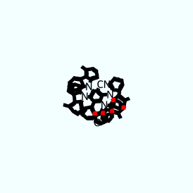 Cc1cccc2c1c1ccccc1n2-c1c(C#N)c(-n2c3ccccc3c3c(C)cccc32)c(-n2c3ccccc3c3c(C)cccc32)c(-c2cccc3oc4ccccc4c23)c1-n1c2ccccc2c2c(C)cccc21